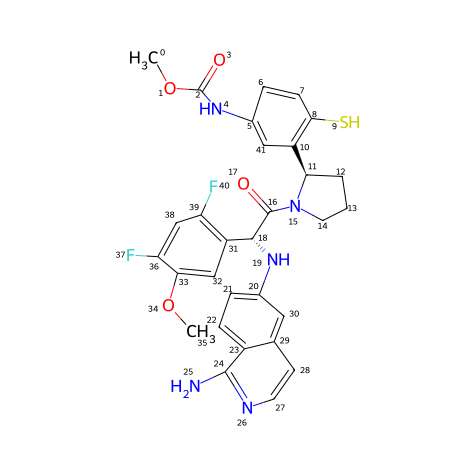 COC(=O)Nc1ccc(S)c([C@H]2CCCN2C(=O)[C@H](Nc2ccc3c(N)nccc3c2)c2cc(OC)c(F)cc2F)c1